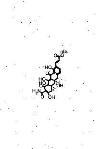 CCCCOC(=O)/C=C/c1ccc2c(c1O)C(=O)C1=C(O)[C@]3(O)C(=O)C(C(N)=O)=C(O)C[C@@H]3[C@@H](O)[C@@H]1[C@H]2C